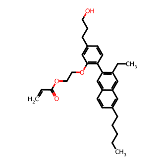 C=CC(=O)OCCOc1cc(CCCO)ccc1-c1cc2ccc(CCCCC)cc2cc1CC